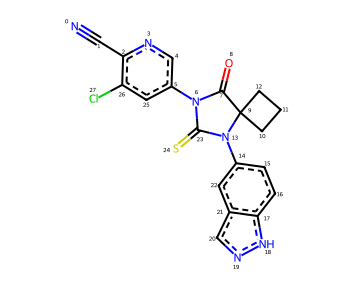 N#Cc1ncc(N2C(=O)C3(CCC3)N(c3ccc4[nH]ncc4c3)C2=S)cc1Cl